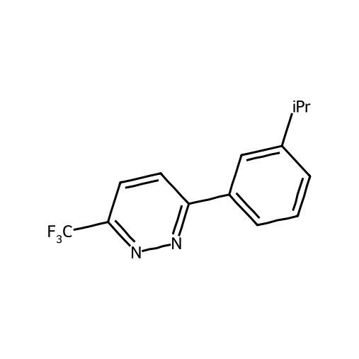 CC(C)c1cccc(-c2ccc(C(F)(F)F)nn2)c1